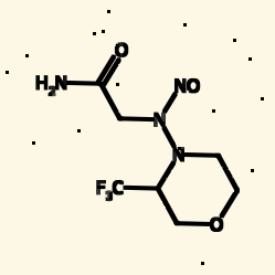 NC(=O)CN(N=O)N1CCOCC1C(F)(F)F